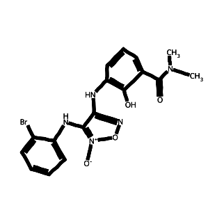 CN(C)C(=O)c1cccc(Nc2no[n+]([O-])c2Nc2ccccc2Br)c1O